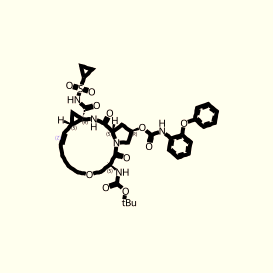 CC(C)(C)OC(=O)N[C@H]1COCCC/C=C\[C@@H]2C[C@@]2(C(=O)NS(=O)(=O)C2CC2)NC(=O)[C@@H]2C[C@@H](OC(=O)Nc3ccccc3Oc3ccccc3)CN2C1=O